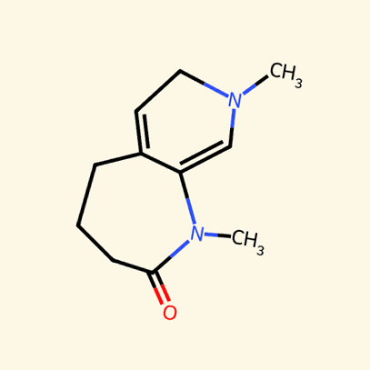 CN1C=C2C(=CC1)CCCC(=O)N2C